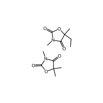 CCC1(C)OC(=O)N(C)C1=O.CN1C(=O)OC(C)(C)C1=O